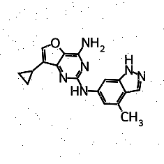 Cc1cc(Nc2nc(N)c3occ(C4CC4)c3n2)cc2[nH]ncc12